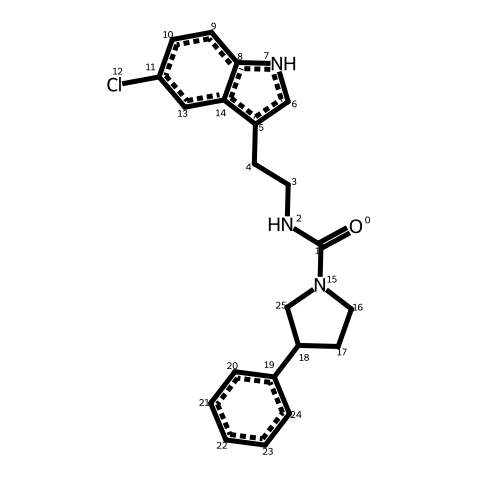 O=C(NCCc1c[nH]c2ccc(Cl)cc12)N1CCC(c2ccccc2)C1